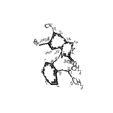 CC(C)c1ccccc1-n1c(=O)ncc2cc(Cl)c(Br)cc21